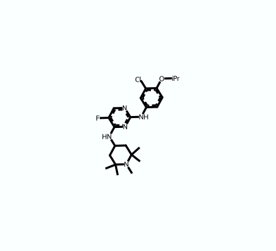 CC(C)Oc1ccc(Nc2ncc(F)c(NC3CC(C)(C)N(C)C(C)(C)C3)n2)cc1Cl